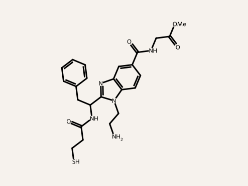 COC(=O)CNC(=O)c1ccc2c(c1)nc(C(Cc1ccccc1)NC(=O)CCS)n2CCN